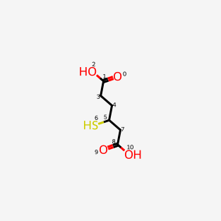 O=C(O)CCC(S)CC(=O)O